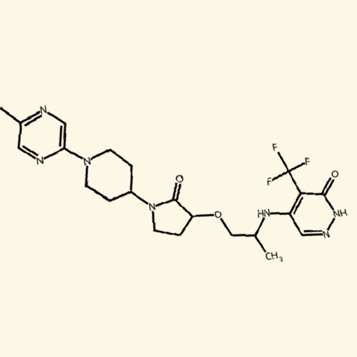 CC(COC1CCN(C2CCN(c3cnc(Cl)cn3)CC2)C1=O)Nc1cn[nH]c(=O)c1C(F)(F)F